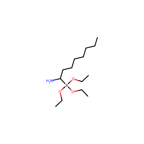 CCCCCCCC(N)[Si](OCC)(OCC)OCC